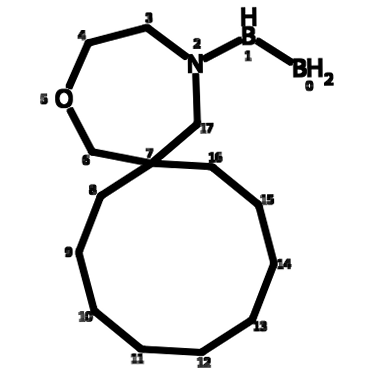 BBN1CCOCC2(CCCCCCCCC2)C1